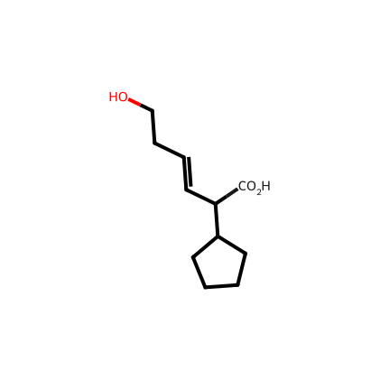 O=C(O)C(C=CCCO)C1CCCC1